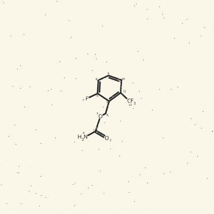 NC(=O)OCc1c(F)cccc1C(F)(F)F